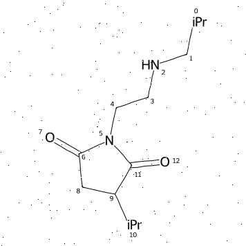 CC(C)CNCCN1C(=O)CC(C(C)C)C1=O